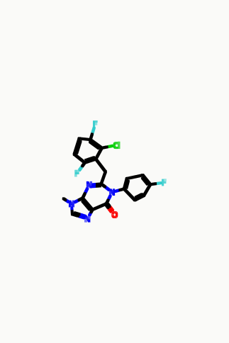 Cn1cnc2c(=O)n(-c3ccc(F)cc3)c(Cc3c(F)ccc(F)c3Cl)nc21